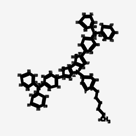 CCCCCCc1ccc(-n2c3cc(-c4ccc(N(c5ccccc5)c5ccccc5)cc4)sc3c3sc(-c4ccc(N(c5ccccc5)c5ccccc5)cc4)cc32)cc1